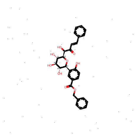 O=C(OCc1ccccc1)c1ccc(O)c([C@@H]2O[C@H](C(O)C(=O)C=Cc3ccccc3)[C@@H](O)[C@H](O)[C@H]2O)c1